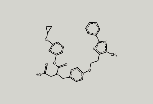 Cc1oc(-c2ccccc2)nc1CCOc1ccc(CN(CC(=O)O)C(=O)Oc2cccc(OC3CC3)c2)cc1